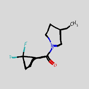 CC1CCN(C(=O)C2CC2(F)F)C1